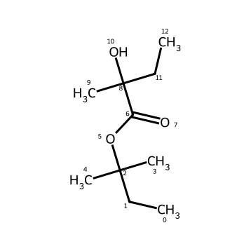 CCC(C)(C)OC(=O)C(C)(O)CC